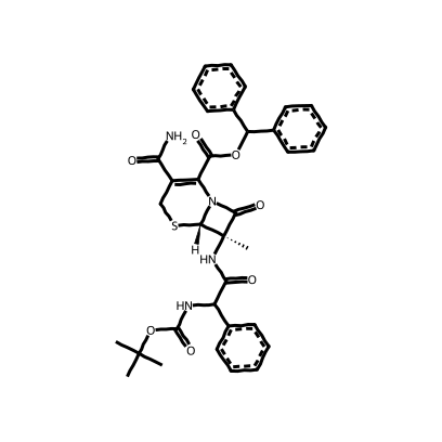 CC(C)(C)OC(=O)NC(C(=O)N[C@]1(C)C(=O)N2C(C(=O)OC(c3ccccc3)c3ccccc3)=C(C(N)=O)CS[C@H]21)c1ccccc1